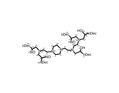 CCCCCCCCCCC(O)CN(CCN1CCN(CCN(CC(CCCCCCCCCC)N=O)CC(CCCCCCCCCC)N=O)CC1)CCN(CC(O)CCCCCCCCCC)CC(CCCCCCCCCC)N=O